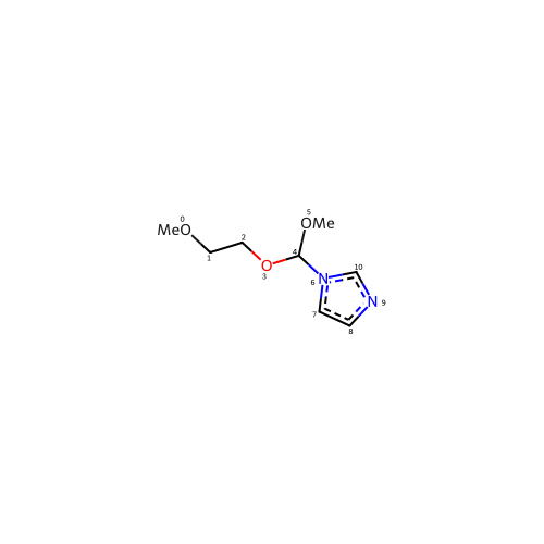 COCCOC(OC)n1ccnc1